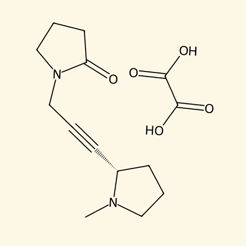 CN1CCC[C@H]1C#CCN1CCCC1=O.O=C(O)C(=O)O